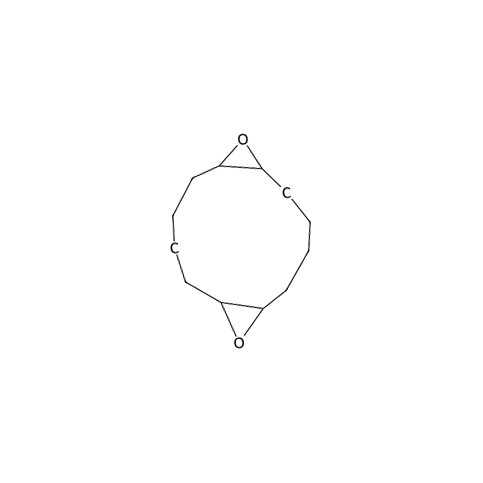 C1CCC2OC2CCCCC2OC2C1